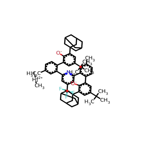 Cc1ccc(-c2cc(C(C)(C)C)cc(C34CC5CC(CC(C5)C3)C4)c2[O-])c(-c2cc(C(F)(F)F)cc(-c3cc(C)ccc3-c3cc(C(C)(C)C)cc(C45CC6CC(CC(C6)C4)C5)c3[O-])n2)c1.[CH3][Hf+2][CH3]